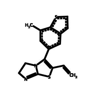 C=CC1=C(c2cc(C)c3sccc3c2)N2CCN=C2S1